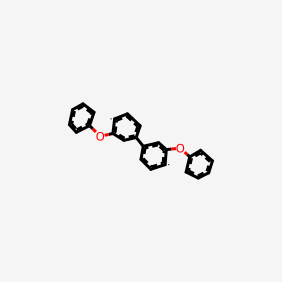 [c]1ccc(-c2cc[c]c(Oc3ccccc3)c2)cc1Oc1ccccc1